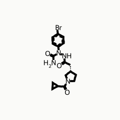 NC(=O)N(NC(=O)C[C@@H]1CCN(C(=O)C2CC2)C1)c1ccc(Br)cc1